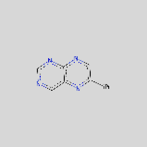 CC(C)c1cnc2ncncc2n1